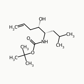 C=CC[C@H](O)[C@H](CC(C)C)NC(=O)OC(C)(C)C